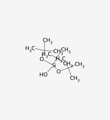 CC(C)(C)O[Si](O)(OC(C)(C)C)C(C)(C)C